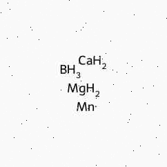 B.[CaH2].[MgH2].[Mn]